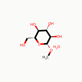 CO[C@@H]1O[C@H](CO)[C@@H](O)[C@H](O)[C@H]1O.O